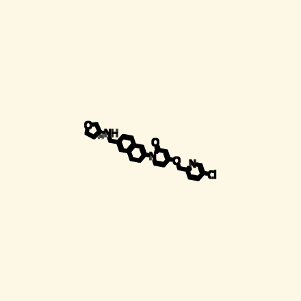 O=c1cc(OCc2ccc(Cl)cn2)ccn1C1=Cc2ccc(CN[C@H]3CCOC3)cc2CC1